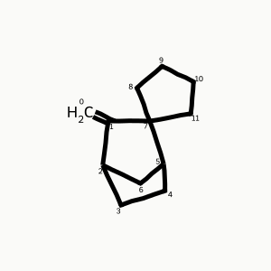 C=C1C2CCC(C2)C12CCCC2